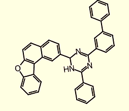 c1ccc(C2=NC(c3cccc(-c4ccccc4)c3)=NC(c3ccc4ccc5oc6ccccc6c5c4c3)N2)cc1